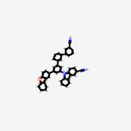 N#Cc1cccc(-c2cccc(-c3cc(-c4ccc5oc6ccccc6c5c4)cc(-n4c5ccccc5c5cc(C#N)ccc54)c3)c2)c1